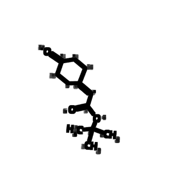 CC(C)(C)OC(=O)C=C1CCC(=O)CC1